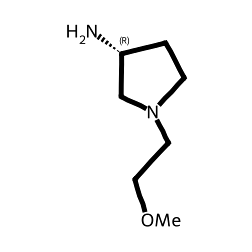 COCCN1CC[C@@H](N)C1